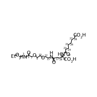 CCOCCNC(=O)COCCOCCNC(=O)CC[C@H](NC(=O)CCCCCCC(=O)O)C(=O)O